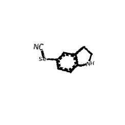 N#C[Se]c1ccc2c(c1)CCN2